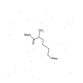 CCCCCCCCCCC(C)C(=O)OC